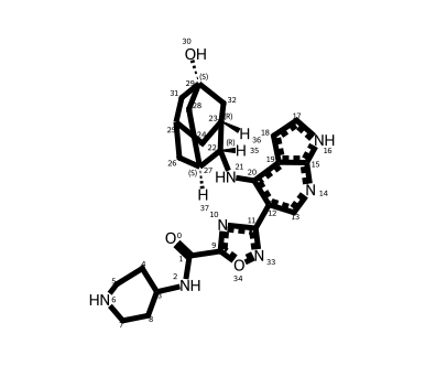 O=C(NC1CCNCC1)c1nc(-c2cnc3[nH]ccc3c2N[C@H]2[C@@H]3CC4C[C@H]2C[C@@](O)(C4)C3)no1